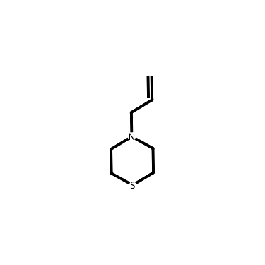 C=CCN1CCSCC1